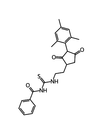 Cc1cc(C)c(C2C(=O)CC(CCNC(=S)NC(=O)c3ccccc3)C2=O)c(C)c1